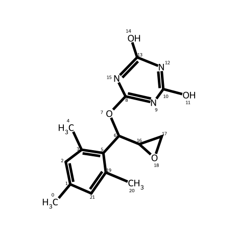 Cc1cc(C)c(C(Oc2nc(O)nc(O)n2)C2CO2)c(C)c1